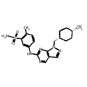 Cc1ccc(Nc2ncc3cnn(C[C@H]4CC[C@@H](C)CC4)c3n2)cc1S(N)(=O)=O